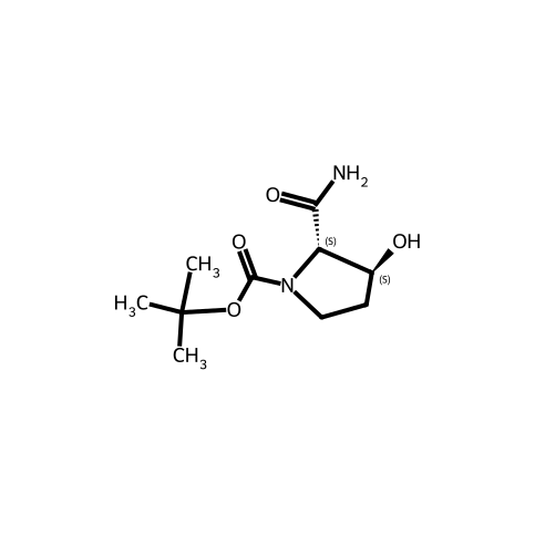 CC(C)(C)OC(=O)N1CC[C@H](O)[C@H]1C(N)=O